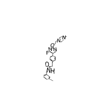 Cc1cccc(CNC(=O)Cc2ccc(-c3cnc(OCCN4CCN(C)CC4)nc3F)cc2)c1